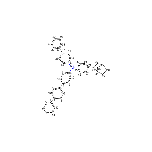 c1ccc(-c2ccc(-c3ccc(N(c4ccc(-c5ccccc5)cc4)c4ccc(C5CC6CCC5C6)cc4)cc3)cc2)cc1